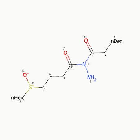 CCCCCCCCCCCC(=O)N(N)C(=O)CCC[S+]([O-])CCCCCC